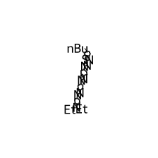 CCCCc1ccc2nc(N=Nc3ccc(N=Nc4ccc(N=Nc5ccc(N(CC)CC)cc5)cc4)cc3)sc2c1